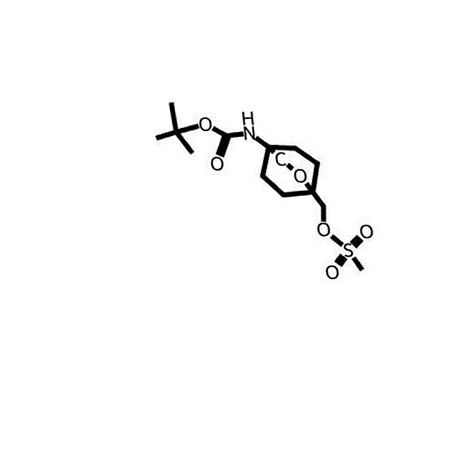 CC(C)(C)OC(=O)NC12CCC(COS(C)(=O)=O)(CC1)OC2